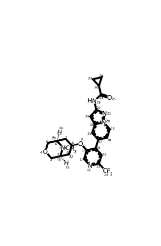 CN1[C@@H]2COC[C@H]1C[C@@H](Oc1cnc(C(F)(F)F)cc1-c1ccn3nc(NC(=O)C4CC4)cc3c1)C2